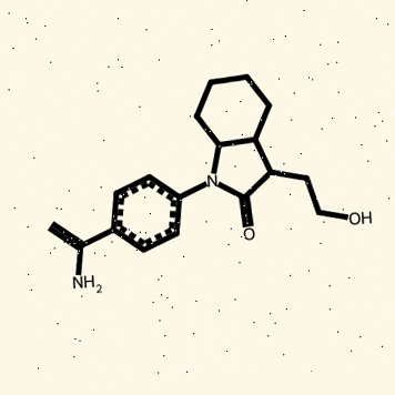 C=C(N)c1ccc(N2C(=O)C(CCO)C3CCCCC32)cc1